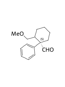 COCC1CCCC[C@@]1(C=O)c1ccccc1